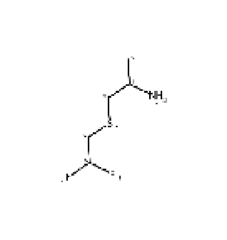 CC(N)CSCC(F)F